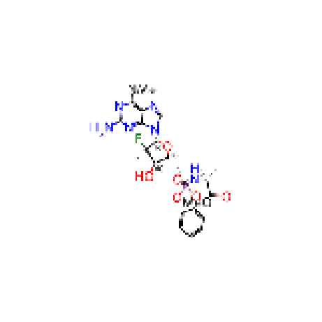 CNc1nc(N)nc2c1ncn2[C@@H]1O[C@H](CO[P@](=O)(N[C@H](C)C(=O)OC)Oc2ccccc2)[C@@H](O)[C@@]1(C)F